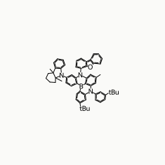 Cc1cc2c3c(c1)N(c1cccc4c1oc1ccccc14)c1cc(N4c5ccccc5C5(C)CCCCC45C)ccc1B3c1ccc(C(C)(C)C)cc1N2c1cccc(C(C)(C)C)c1